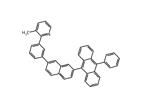 Cc1cccnc1-c1cccc(-c2ccc3ccc(-c4c5ccccc5c(-c5ccccc5)c5ccccc45)cc3c2)c1